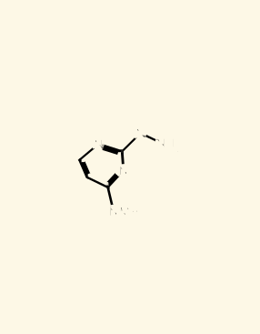 CNc1ccnc(NN)n1